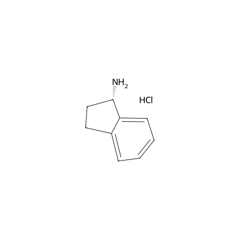 Cl.N[C@H]1CCc2ccccc21